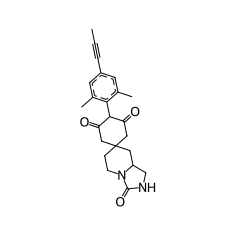 CC#Cc1cc(C)c(C2C(=O)CC3(CCN4C(=O)NCC4C3)CC2=O)c(C)c1